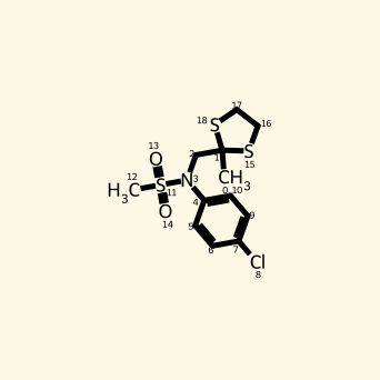 CC1(CN(c2ccc(Cl)cc2)S(C)(=O)=O)SCCS1